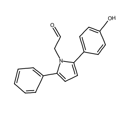 O=CCn1c(-c2ccccc2)ccc1-c1ccc(O)cc1